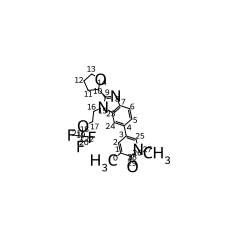 Cc1cc(-c2ccc3nc([C@H]4CCCO4)n(CCOC(F)(F)F)c3c2)cn(C)c1=O